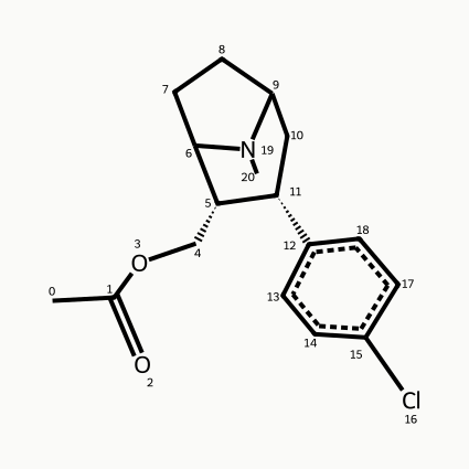 CC(=O)OC[C@@H]1C2CCC(C[C@@H]1c1ccc(Cl)cc1)N2C